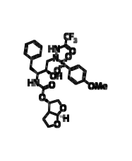 COc1ccc(S(=O)(=O)N(C[C@@H](O)[C@H](Cc2ccccc2)NC(=O)O[C@H]2CO[C@H]3OCCC32)NC(=O)C(F)(F)F)cc1